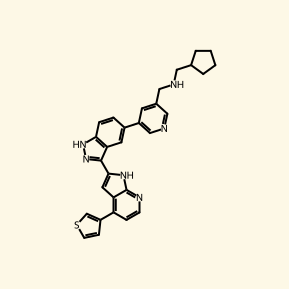 c1cc(-c2ccsc2)c2cc(-c3n[nH]c4ccc(-c5cncc(CNCC6CCCC6)c5)cc34)[nH]c2n1